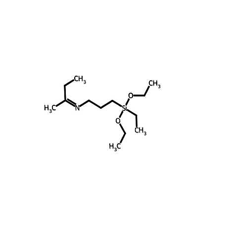 CCO[Si](CC)(CCC/N=C(/C)CC)OCC